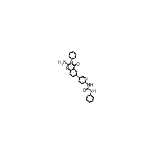 Nc1nc2ccc(-c3ccc(NC(=O)Nc4ccccc4)nc3)cc2c(=O)n1-c1ccccc1